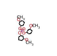 COc1cccc(OP(=O)(Oc2cccc(OC)c2)Oc2cccc(OC)c2)c1